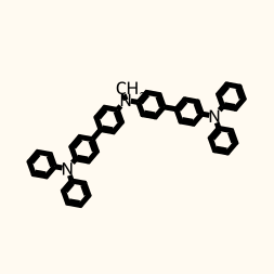 CN(c1ccc(-c2ccc(N(c3ccccc3)c3ccccc3)cc2)cc1)c1ccc(-c2ccc(N(c3ccccc3)c3ccccc3)cc2)cc1